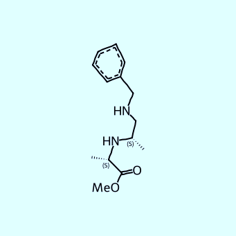 COC(=O)[C@H](C)N[C@@H](C)CNCc1ccccc1